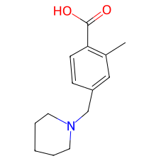 Cc1cc(CN2CCCCC2)ccc1C(=O)O